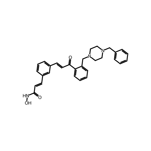 O=C(/C=C/c1cccc(/C=C/C(=O)c2ccccc2CN2CCN(Cc3ccccc3)CC2)c1)NO